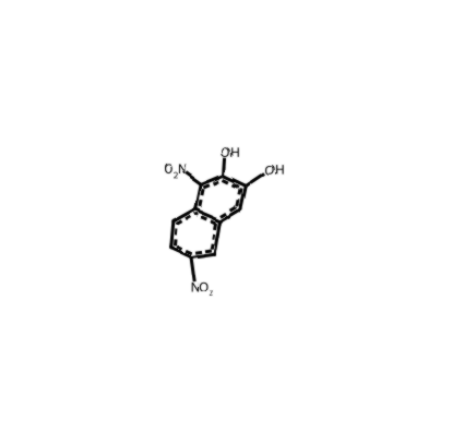 O=[N+]([O-])c1ccc2c([N+](=O)[O-])c(O)c(O)cc2c1